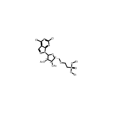 CCOP(=O)(CCOC[C@H]1OC(n2ncc3c(Cl)nc(Cl)nc32)[C@H](OC(C)=O)[C@@H]1OC(C)=O)OCC